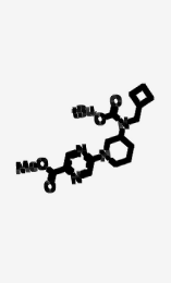 COC(=O)c1cnc(N2CCCC(N(CC3CCC3)C(=O)OC(C)(C)C)C2)cn1